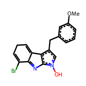 COc1cccc(Cc2cn(O)c3c2C2=CCC=C(Br)C2=N3)c1